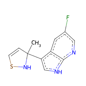 CC1(c2c[nH]c3ncc(F)cc23)C=CSN1